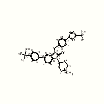 CN1CCC(n2c(=O)n(Cc3ccc(-c4nnc(C(F)F)o4)cc3)c3cc(-c4ccc(C(F)(F)F)cc4)ccc32)CC1